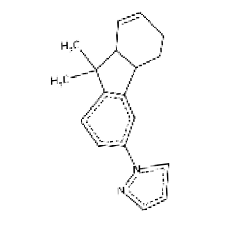 CC1(C)c2ccc(-n3cccn3)cc2C2CCC=CC21